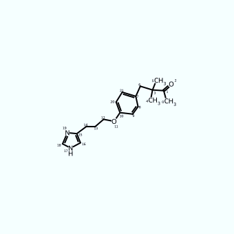 CC(=O)C(C)(C)Cc1ccc(OCCCc2c[nH]cn2)cc1